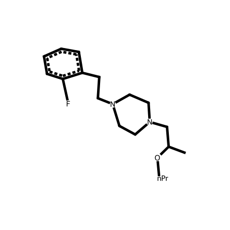 CCCOC(C)CN1CCN(CCc2ccccc2F)CC1